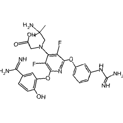 CC(C)(N)CN(CC(=O)O)c1c(F)c(Oc2cccc(NC(=N)N)c2)nc(Oc2cc(C(=N)N)ccc2O)c1F